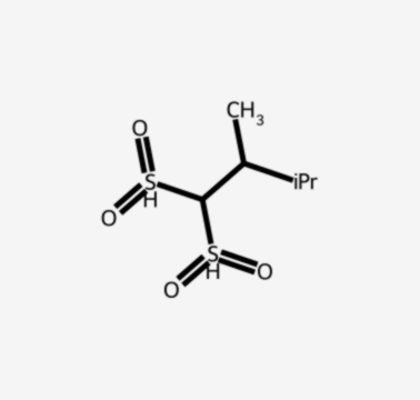 CC(C)C(C)C([SH](=O)=O)[SH](=O)=O